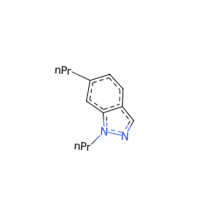 CCCc1ccc2cnn(CCC)c2c1